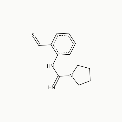 N=C(Nc1ccccc1C=S)N1CCCC1